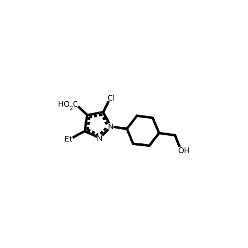 CCc1nn(C2CCC(CO)CC2)c(Cl)c1C(=O)O